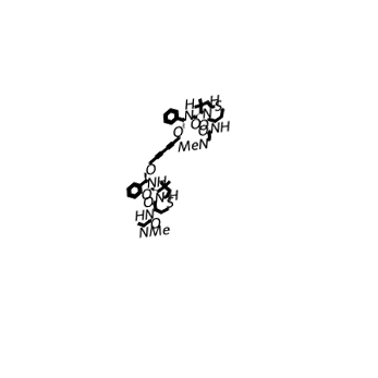 CNCC(=O)N[C@H]1CCS[C@H]2CC(C)(C)[C@@H](C(=O)N[C@H](COCC#CC#CCOC[C@@H](NC(=O)[C@H]3N4C(=O)[C@@H](NC(=O)[C@H](C)NC)CCS[C@H]4CC3(C)C)c3ccccc3)c3ccccc3)N2C1=O